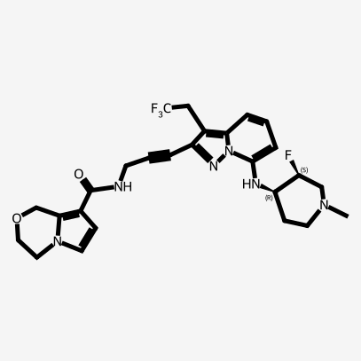 CN1CC[C@@H](Nc2cccc3c(CC(F)(F)F)c(C#CCNC(=O)c4ccn5c4COCC5)nn23)[C@@H](F)C1